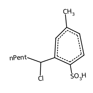 CCCCCC(Cl)c1cc(C)ccc1S(=O)(=O)O